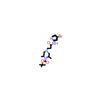 CC1CN(CCC(=O)Nc2cc(Br)ccn2)CC(C)N1C(=O)OC(C)(C)C